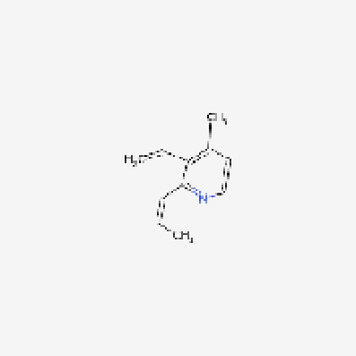 C=Cc1c(C)ccnc1/C=C\C